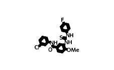 COc1ccc(C(=O)Nc2cccc(Cl)c2)cc1NC(=S)Nc1ccc(F)cc1